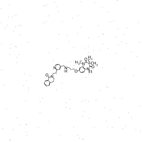 CCN1C(=O)C(C)(C)C(=O)N(C)c2cc(OCCCNCc3ccnc(CCN4CCc5ccccc5C4=O)c3)ccc21